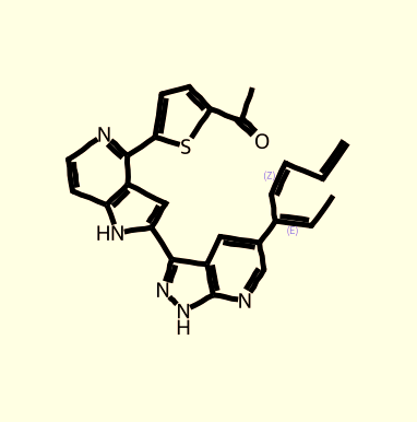 C=C/C=C\C(=C/C)c1cnc2[nH]nc(-c3cc4c(-c5ccc(C(C)=O)s5)nccc4[nH]3)c2c1